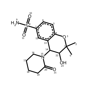 CC1(C)Oc2ccc(S(N)(=O)=O)cc2C(N2CCCCC2=O)C1O